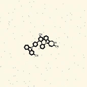 N#Cc1ccc(-c2ccccc2-n2c3c(c4ccccc42)CNC(C#N)C=C3)c(-c2ccc(-n3c4ccccc4c4ccc(C#N)cc43)cc2)c1